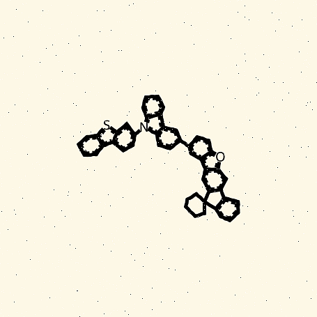 c1ccc2c(c1)-c1cc3oc4ccc(-c5ccc6c(c5)c5ccccc5n6-c5ccc6c(c5)sc5ccccc56)cc4c3cc1C21CCCCC1